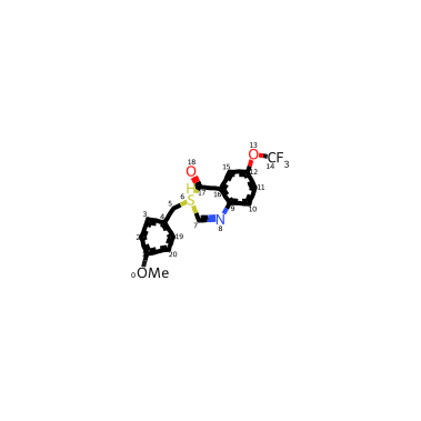 COc1ccc(C[SH]2C=Nc3ccc(OC(F)(F)F)cc3C2=O)cc1